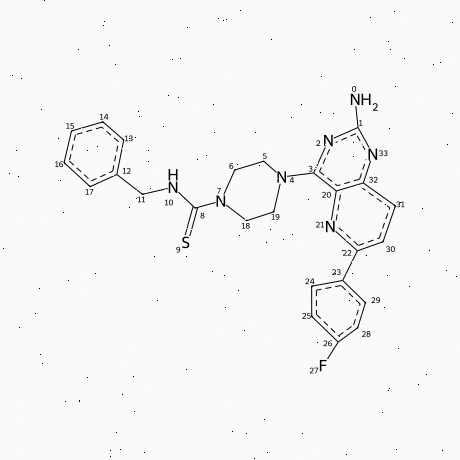 Nc1nc(N2CCN(C(=S)NCc3ccccc3)CC2)c2nc(-c3ccc(F)cc3)ccc2n1